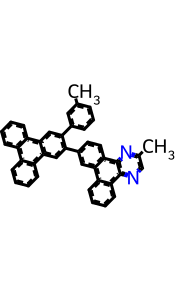 Cc1cccc(-c2cc3c4ccccc4c4ccccc4c3cc2-c2ccc3c(c2)c2ccccc2c2ncc(C)nc32)c1